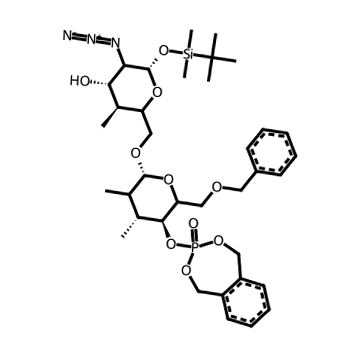 CC1[C@H](OCC2O[C@@H](O[Si](C)(C)C(C)(C)C)C(N=[N+]=[N-])[C@@H](O)[C@@H]2C)OC(COCc2ccccc2)[C@@H](OP2(=O)OCc3ccccc3CO2)[C@@H]1C